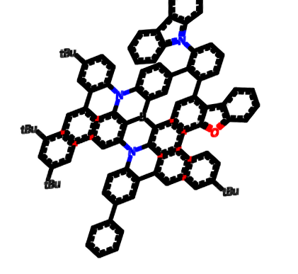 CC(C)(C)c1ccc(-c2ccc3c(c2)N(c2ccc(-c4ccccc4)cc2-c2ccccc2)c2cc(-c4cc(C(C)(C)C)cc(C(C)(C)C)c4)cc4c2B3c2cc(-c3c(-c5cccc6oc7ccccc7c56)cccc3-n3c5ccccc5c5ccccc53)ccc2N4c2ccc(C(C)(C)C)cc2-c2ccccc2)cc1